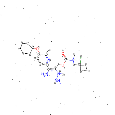 Cc1nc(/C(N)=C(\COC(=O)N(C)CC2(F)CCC2)N(C)N)ccc1OC1CCCCC1